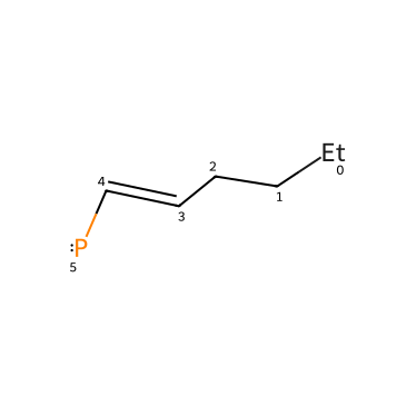 CCCCC=C[P]